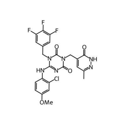 COc1ccc(Nc2nc(=O)n(Cc3cc(C)n[nH]c3=O)c(=O)n2Cc2cc(F)c(F)c(F)c2)c(Cl)c1